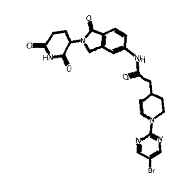 O=C1CCC(N2Cc3cc(NC(=O)CC4CCN(c5ncc(Br)cn5)CC4)ccc3C2=O)C(=O)N1